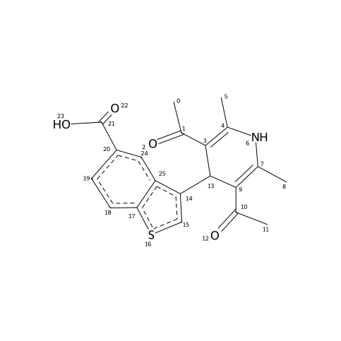 CC(=O)C1=C(C)NC(C)=C(C(C)=O)C1c1csc2ccc(C(=O)O)cc12